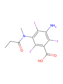 CCC(=O)N(C)c1c(I)c(N)c(I)c(C(=O)O)c1I